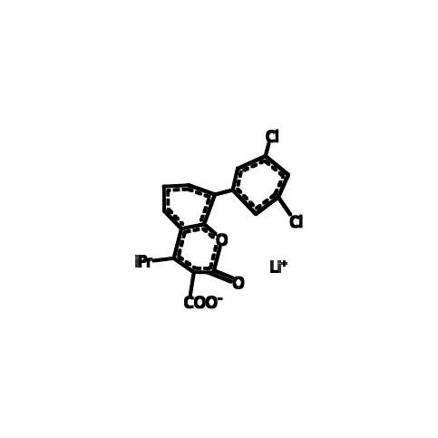 CC(C)c1c(C(=O)[O-])c(=O)oc2c(-c3cc(Cl)cc(Cl)c3)cccc12.[Li+]